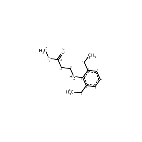 CCc1cccc(CC)c1NCCC(=O)OC